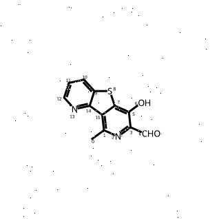 Cc1nc([C]=O)c(O)c2sc3cccnc3c12